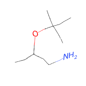 CC(CN)OC(C)(C)C